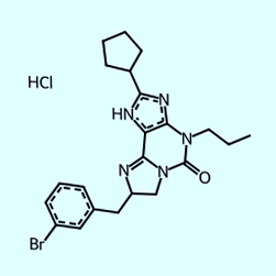 CCCN1C(=O)N2CC(Cc3cccc(Br)c3)N=C2c2[nH]c(C3CCCC3)nc21.Cl